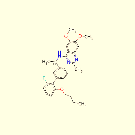 CCCCOc1cccc(F)c1-c1cccc([C@@H](C)Nc2nc(C)nc3cc(OC)c(OC)cc23)c1